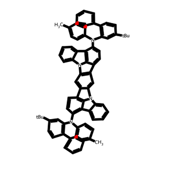 Cc1ccc(N(c2cc(C(C)(C)C)ccc2-c2ccccc2)c2ccc3c4cc5c(cc4n4c6ccccc6c2c34)c2ccc(N(c3ccc(C)cc3)c3cc(C(C)(C)C)ccc3-c3ccccc3)c3c4ccccc4n5c23)cc1